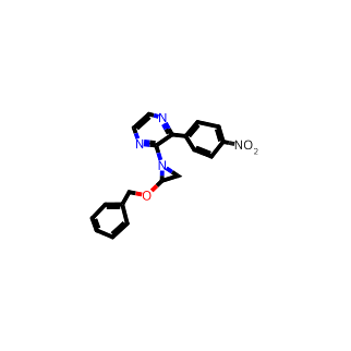 O=[N+]([O-])c1ccc(-c2nccnc2N2CC2OCc2ccccc2)cc1